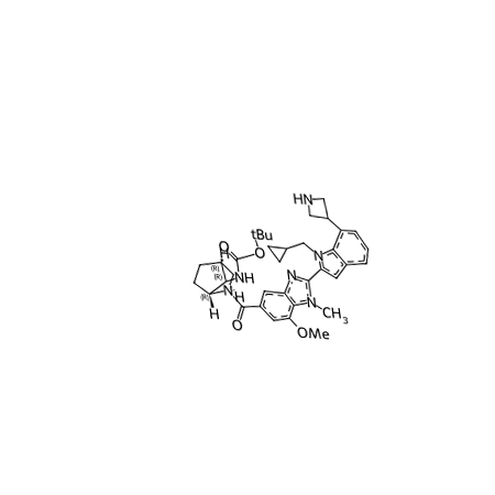 COc1cc(C(=O)N2C[C@H]3CC[C@@H]2[C@@H]3NC(=O)OC(C)(C)C)cc2nc(-c3cc4cccc(C5CNC5)c4n3CC3CC3)n(C)c12